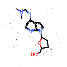 C[C@H]1CC(n2ccc3c(/N=C\N(C)C)ccnc32)OC1CO